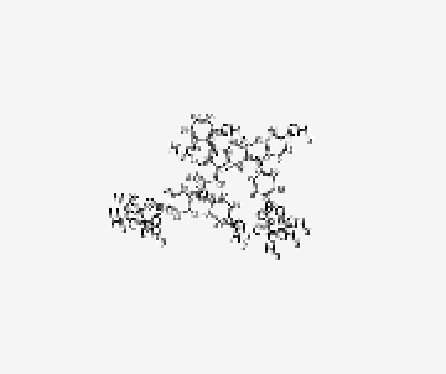 Cc1ccc(N(c2ccc(B3OC(C)(C)C(C)(C)O3)cc2)c2ccc3c(c2)c2cc(N(c4ccc(C)cc4)c4ccc(B5OC(C)(C)C(C)(C)O5)cc4)ccc2n3-c2c(C)cccc2C)cc1